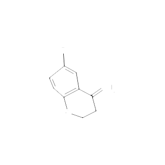 C=C1CCOc2ccc(F)cc21